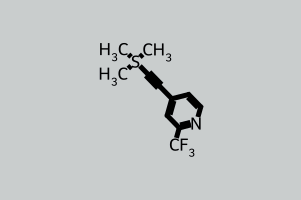 CS(C)(C)C#Cc1ccnc(C(F)(F)F)c1